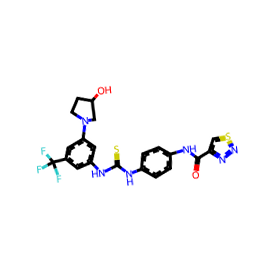 O=C(Nc1ccc(NC(=S)Nc2cc(N3CCC(O)C3)cc(C(F)(F)F)c2)cc1)c1csnn1